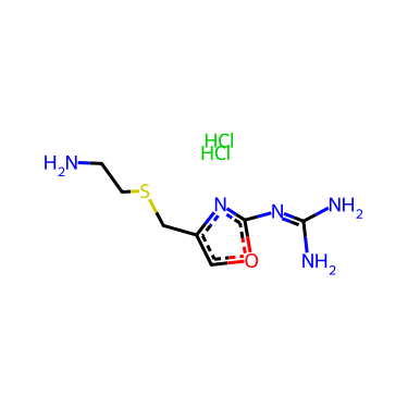 Cl.Cl.NCCSCc1coc(N=C(N)N)n1